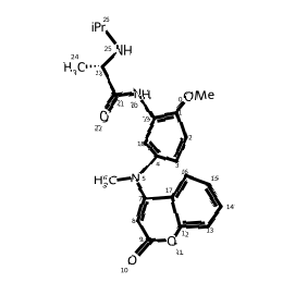 COc1ccc(N(C)c2cc(=O)oc3ccccc23)cc1NC(=O)[C@H](C)NC(C)C